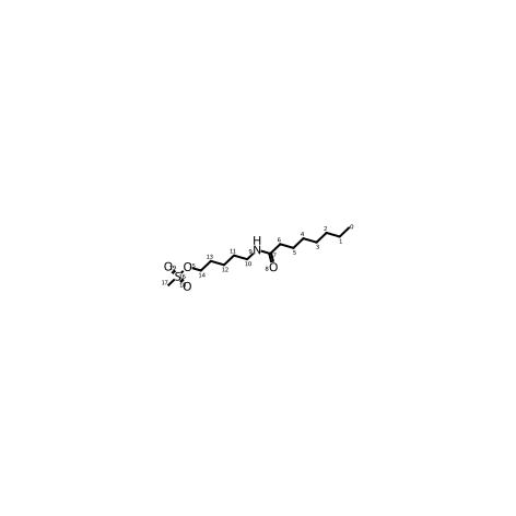 CCCCCCCC(=O)NCCCCCOS(C)(=O)=O